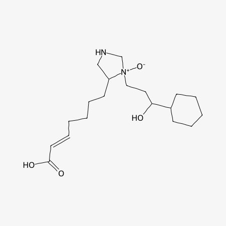 O=C(O)C=CCCCCC1CNC[N+]1([O-])CCC(O)C1CCCCC1